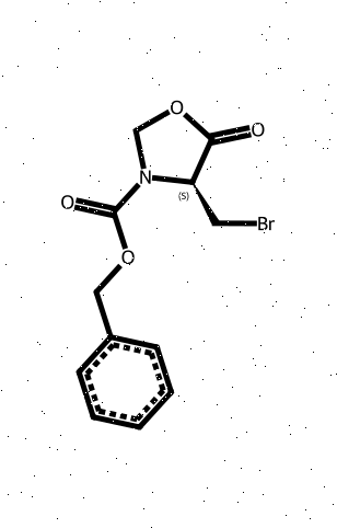 O=C1OCN(C(=O)OCc2ccccc2)[C@@H]1CBr